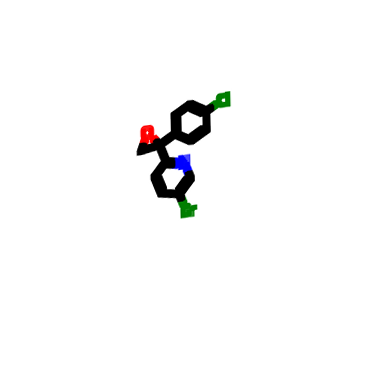 Clc1ccc(C2(c3ccc(Br)cn3)CO2)cc1